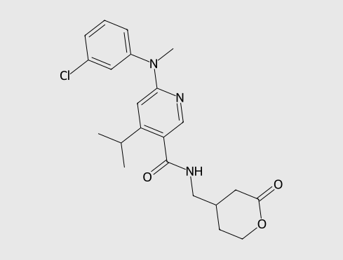 CC(C)c1cc(N(C)c2cccc(Cl)c2)ncc1C(=O)NCC1CCOC(=O)C1